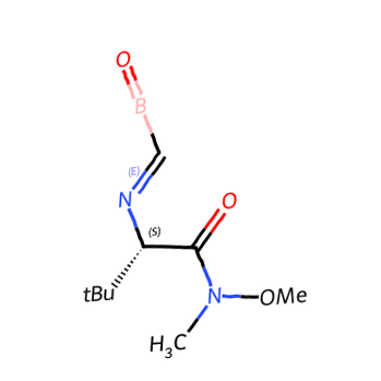 CON(C)C(=O)[C@@H](/N=C/B=O)C(C)(C)C